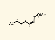 COC/C=C\CCCC(C)=O